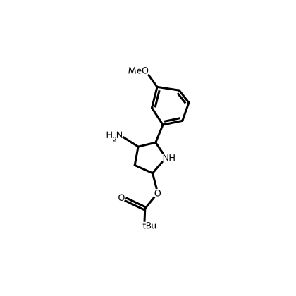 COc1cccc(C2NC(OC(=O)C(C)(C)C)CC2N)c1